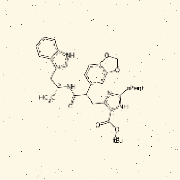 CCCCCc1nc(CC(C(=O)N[C@@H](Cc2c[nH]c3ccccc23)C(=O)O)c2ccc3c(c2)OCO3)c(C(=O)OC(C)(C)C)[nH]1